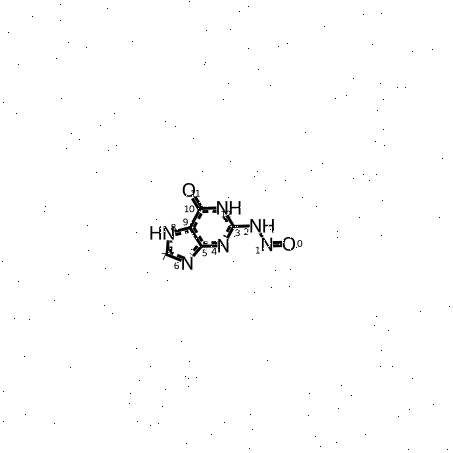 O=NNc1nc2nc[nH]c2c(=O)[nH]1